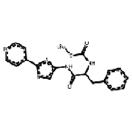 CC(C)(C)OC(=O)NC(Cc1ccccc1)C(=O)Nc1cnc(-c2ccncc2)s1